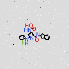 CN(C(=O)c1cc(NC(=O)O)cc(Nc2ccccc2F)n1)C1Cc2ccccc2C1